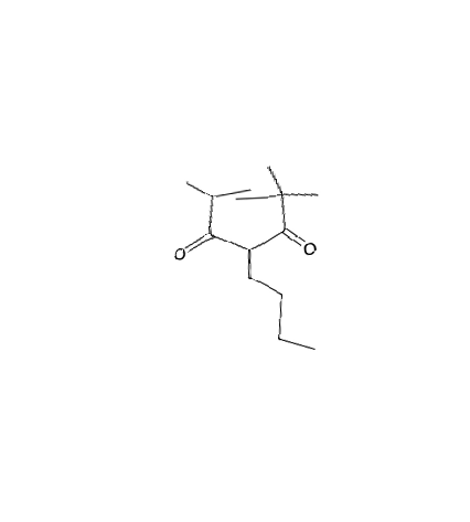 CCCCC(C(=O)C(C)C)C(=O)C(C)(C)C